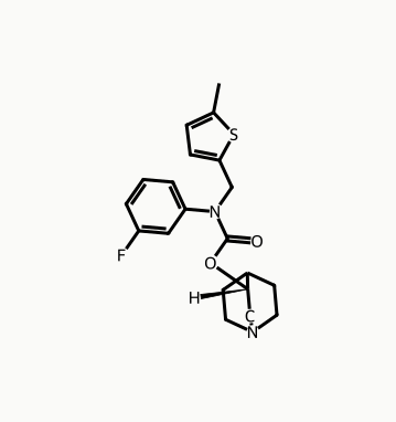 Cc1ccc(CN(C(=O)O[C@H]2CN3CCC2CC3)c2cccc(F)c2)s1